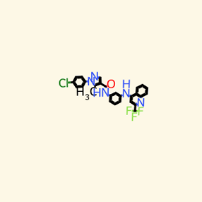 Cc1c(C(=O)Nc2cccc(Nc3cc(C(F)(F)F)nc4ccccc34)c2)cnn1-c1ccc(Cl)cc1